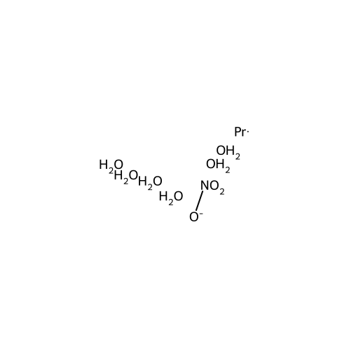 O.O.O.O.O.O.O=[N+]([O-])[O-].[Pr]